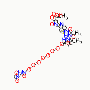 CC[C@@]1(O)C(=O)OCc2c1cc1n(c2=O)Cc2c-1nc1ccc(NC(=O)[C@H](C)NC(=O)[C@@H](NC(=O)CCOCCOCCOCCOCCOCCOCCOCCOCCNC(=O)CCN3C(=O)C=CC3=O)C(C)C)c3c1c2C=CS3